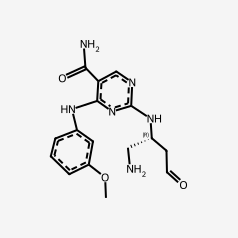 COc1cccc(Nc2nc(N[C@@H](CN)CC=O)ncc2C(N)=O)c1